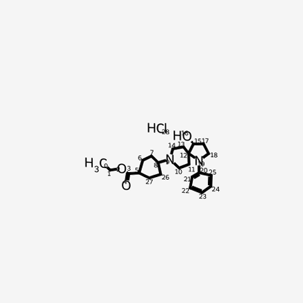 CCOC(=O)C1CCC(N2CCC3(CC2)[C@@H](O)CCN3c2ccccc2)CC1.Cl